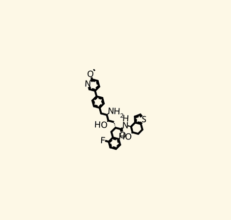 COc1ccc(-c2ccc(C[C@H](N)[C@@H](O)C[C@@H](Cc3ccccc3F)C(=O)N[C@H]3c4ccsc4CC[C@H]3O)cc2)cn1